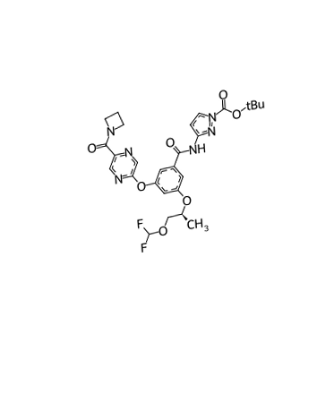 C[C@@H](COC(F)F)Oc1cc(Oc2cnc(C(=O)N3CCC3)cn2)cc(C(=O)Nc2ccn(C(=O)OC(C)(C)C)n2)c1